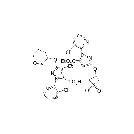 CCOC(=O)c1cc(OC2CS(=O)(=O)C2)nn1-c1ncccc1Cl.CCc1c(OC2CCCOS2)nn(-c2ncccc2Cl)c1C(=O)O